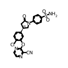 N#Cc1nccnc1Oc1cc([C@H]2CC(=O)N(c3ccc(S(N)(=O)=O)cc3)C2)ccc1Cl